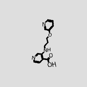 O=C(O)c1ccncc1NCCCOc1cccnc1